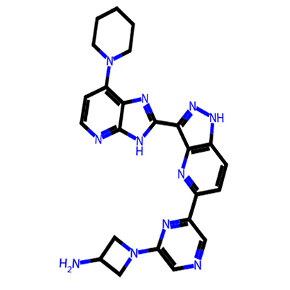 NC1CN(c2cncc(-c3ccc4[nH]nc(-c5nc6c(N7CCCCC7)ccnc6[nH]5)c4n3)n2)C1